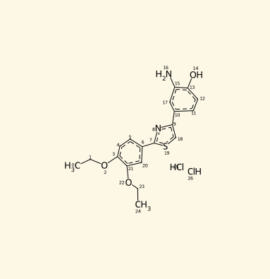 CCOc1ccc(-c2nc(-c3ccc(O)c(N)c3)cs2)cc1OCC.Cl.Cl